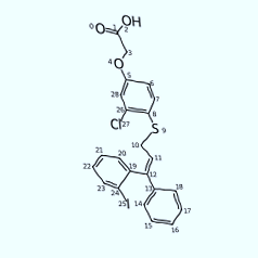 O=C(O)COc1ccc(SC/C=C(/c2ccccc2)c2ccccc2I)c(Cl)c1